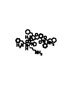 NCCCC[C@H](NC(=O)[C@@H](N)Cc1ccccc1)C(=O)N1CCC[C@H]1C(=O)[C](Cc1ccccc1C(=O)N(C(=O)[C@@H](N)CC1CCCCC1)c1ccccc1)C(=O)[C@H](N)CC1CCCCC1